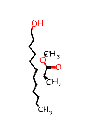 C=CC(=O)OC.CCCCCCCCCCCCO